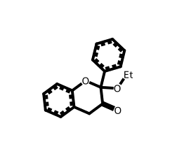 CCOC1(c2ccccc2)Oc2ccccc2CC1=O